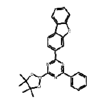 CC1(C)OB(c2nc(-c3ccccc3)nc(-c3ccc4c(c3)oc3ccccc34)n2)OC1(C)C